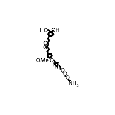 COc1cc(/C=C/C(=O)CC(=O)/C=C/c2ccc(O)c(CO)c2)ccc1OCc1cn(CCOCOCOCCN)nn1